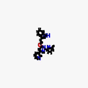 Cc1cccc(-c2nc(OCCc3c[nH]c4ccccc34)cc(-c3cccnc3)n2)n1